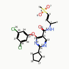 CC(/C=C/S(C)(=O)=O)NC(=O)c1cnc(C2CCCC2)nc1Oc1cc(Cl)cc(Cl)c1